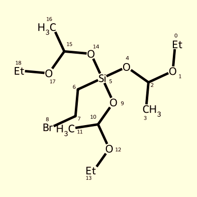 CCOC(C)O[Si](CCBr)(OC(C)OCC)OC(C)OCC